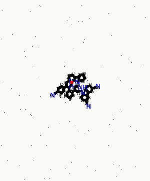 CC1C=C(C2=CCCCC2C2=C(C3=CC(N4C5=C(CC(C#N)CC5)C5C=C(C#N)CCC54)NC(N4c5ccccc5C5CCCNC54)=C3)C=CCC2)C=CC1C#N